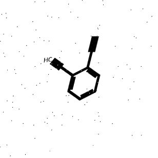 [C]#Cc1ccccc1C#C